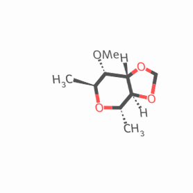 CO[C@@H]1[C@@H]2OCO[C@H]2[C@H](C)O[C@H]1C